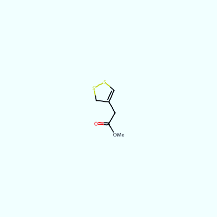 COC(=O)CC1=CSSC1